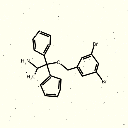 CC(N)C(OCc1cc(Br)cc(Br)c1)(c1ccccc1)c1ccccc1